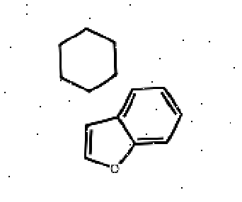 C1CCCCC1.c1ccc2occc2c1